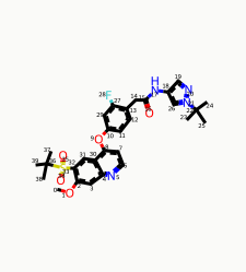 COc1cc2nccc(Oc3ccc(CC(=O)Nc4cnn(C(C)(C)C)c4)c(F)c3)c2cc1S(=O)(=O)C(C)(C)C